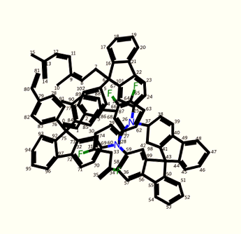 C=Cc1ccc(C2(C/C=C(C)\C=C/C(=C)C)c3ccccc3-c3ccc(N(/C(C)=C/C=C(/F)CC(=C)F)C4C=CC5=C(C4)C4(c6ccccc65)c5ccccc5-c5ccc(N(c6ccc(F)c(F)c6)c6ccc7c(c6)C(c6ccc(C=C)cc6)(c6cc(C)ccc6C)c6ccccc6-7)cc54)cc32)cc1